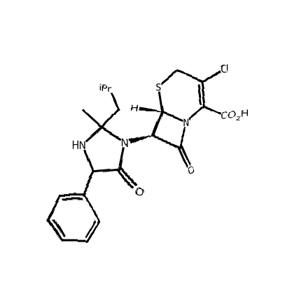 CC(C)CC1(C)NC(c2ccccc2)C(=O)N1[C@@H]1C(=O)N2C(C(=O)O)=C(Cl)CS[C@@H]12